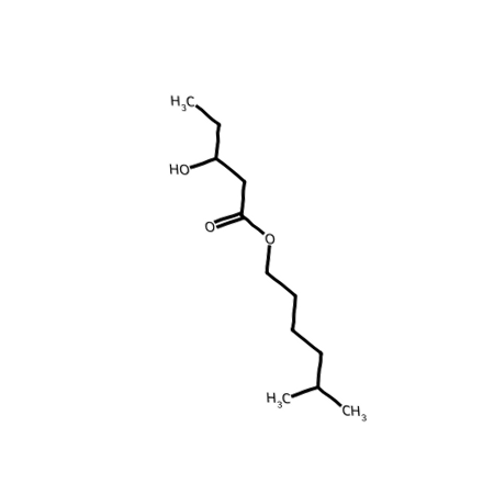 CCC(O)CC(=O)OCCCCC(C)C